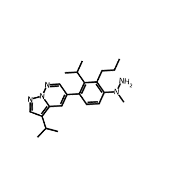 CCCc1c(N(C)N)ccc(-c2cnn3ncc(C(C)C)c3c2)c1C(C)C